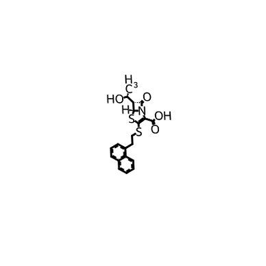 C[C@H](O)[C@@H]1C(=O)N2C(C(=O)O)=C(SCCc3cccc4ccccc34)S[C@H]12